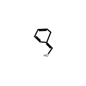 OC=C1C=[C]C=CC1